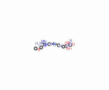 Nc1ncnc2c1c(-c1ccc(Oc3ccccc3)cc1)nn2C1CCN(C2CN(CC3(F)CCN(c4ccc5c(c4)C(=O)N(C4CCC(=O)NC4=O)C5O)CC3)C2)CC1